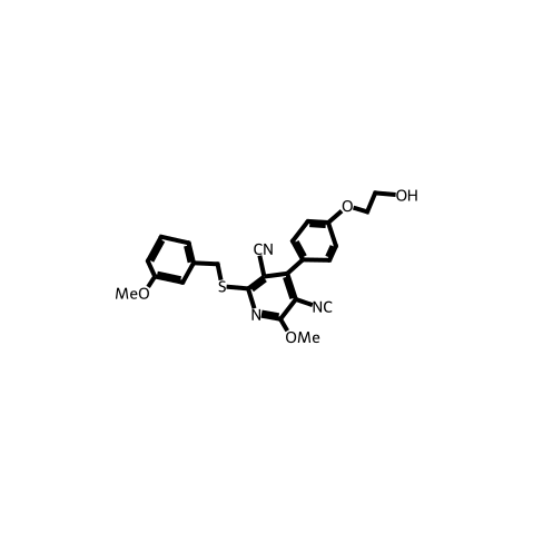 [C-]#[N+]c1c(OC)nc(SCc2cccc(OC)c2)c(C#N)c1-c1ccc(OCCO)cc1